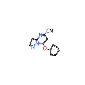 N#Cc1cc(Oc2ccccc2)n2nccc2n1